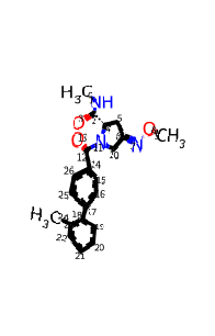 CNC(=O)[C@@H]1CC(=NOC)CN1C(=O)c1ccc(-c2ccccc2C)cc1